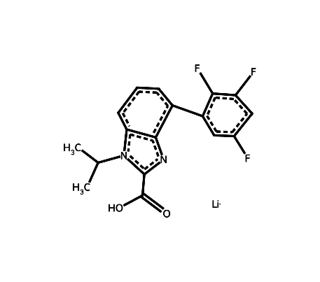 CC(C)n1c(C(=O)O)nc2c(-c3cc(F)cc(F)c3F)cccc21.[Li]